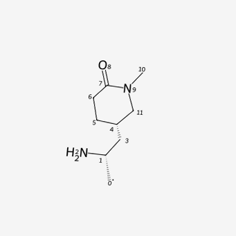 [CH2][C@H](N)C[C@@H]1CCC(=O)N(C)C1